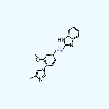 COc1cc(/C=C/c2nc3ccccc3[nH]2)ccc1-n1cnc(C)c1